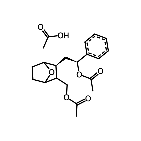 CC(=O)O.CC(=O)OCC1C2CCC(O2)[C@H]1C[C@H](OC(C)=O)c1ccccc1